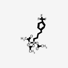 CC(=O)O[Si](CCCCc1ccc(C(F)(F)F)cc1)(OC(C)=O)OC(C)=O